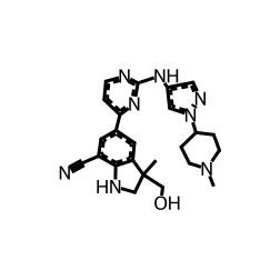 CN1CCC(n2cc(Nc3nccc(-c4cc(C#N)c5c(c4)C(C)(CO)CN5)n3)cn2)CC1